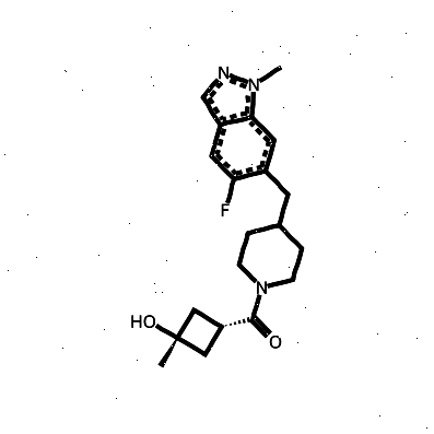 Cn1ncc2cc(F)c(CC3CCN(C(=O)[C@H]4C[C@@](C)(O)C4)CC3)cc21